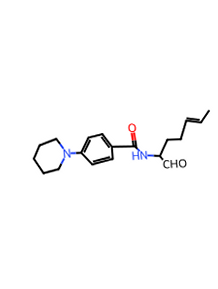 CC=CCCC(C=O)NC(=O)c1ccc(N2CCCCC2)cc1